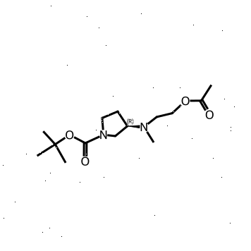 CC(=O)OCCN(C)[C@@H]1CCN(C(=O)OC(C)(C)C)C1